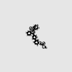 CCOC(=O)COc1cccc(-c2ccc(C(CC(=NO)c3ccncc3)c3ccccc3)cc2)c1